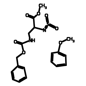 COC(=O)C(CNC(=O)OCc1ccccc1)N=S(=O)=O.COc1ccccc1